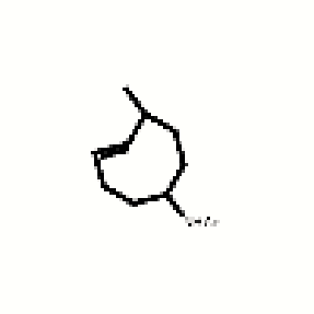 CC(=O)NC1CC/C=C/C(C)CC1